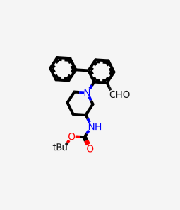 CC(C)(C)OC(=O)NC1CCCN(c2c(C=O)cccc2-c2ccccc2)C1